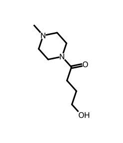 CN1CCN(C(=O)CCCO)CC1